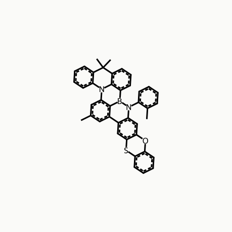 Cc1cc2c3c(c1)N1c4ccccc4C(C)(C)c4cccc(c41)B3N(c1ccccc1C)c1cc3c(cc1-2)Sc1ccccc1O3